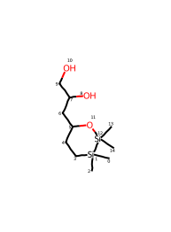 C[Si]1(C)CCC(CC(O)CO)O[Si]1(C)C